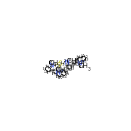 CN(CCSSCCN(C)c1ccccc1CCc1ccc2ccccc2[n+]1C)c1ccccc1/C=C/c1ccc2ccccc2[n+]1C